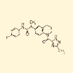 Cc1n[nH]c(C(=O)N2CCCc3cc(C(C)C(=O)Nc4ccc(F)cc4)ccc32)n1